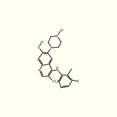 CCOC(=O)c1cnc2cc(OCC)c(N3CCN(CC)CC3)cc2c1Nc1cccc(F)c1C